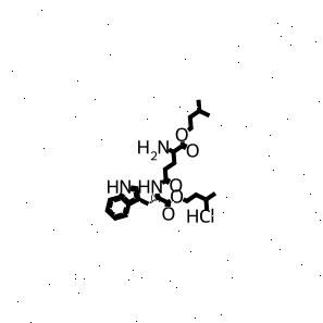 CC(C)CCOC(=O)C(N)CCC(=O)N[C@@H](Cc1c[nH]c2ccccc12)C(=O)OCCC(C)C.Cl